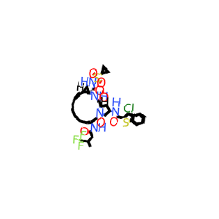 CC(CC(=O)N[C@H]1CCCCC/C=C\[C@@H]2C[C@@]2(C(=O)NS(=O)(=O)C2CC2)NC(=O)[C@@H]2C[C@@H](NC(=O)c3sc4ccccc4c3Cl)CN2C1=O)C(F)(F)F